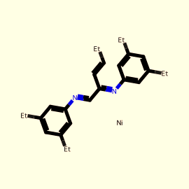 CC/C=C/C(/C=N/c1cc(CC)cc(CC)c1)=N\c1cc(CC)cc(CC)c1.[Ni]